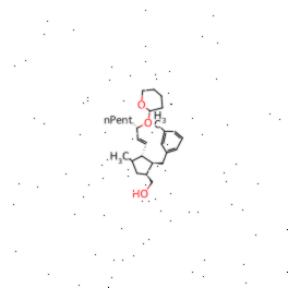 CCCCC[C@@H](/C=C/[C@@H]1[C@@H](Cc2cccc(C)c2)[C@@H](CO)C[C@H]1C)OC1CCCCO1